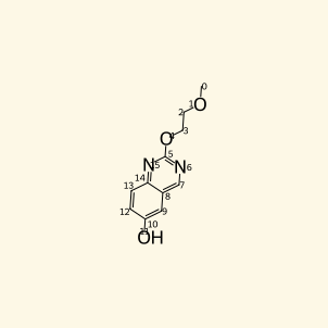 COCCOc1ncc2cc(O)ccc2n1